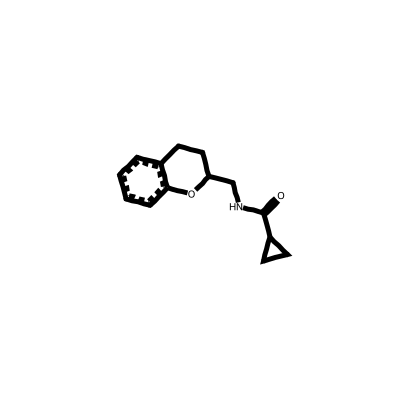 O=C(NCC1CCc2ccccc2O1)C1CC1